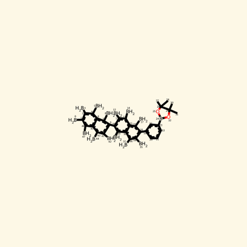 Bc1c(B)c(B)c2c(B)c(-c3c(B)c(B)c4c(B)c(-c5cccc(B6OC(C)(C)C(C)(C)O6)c5)c(B)c(B)c4c3B)c(B)c(B)c2c1B